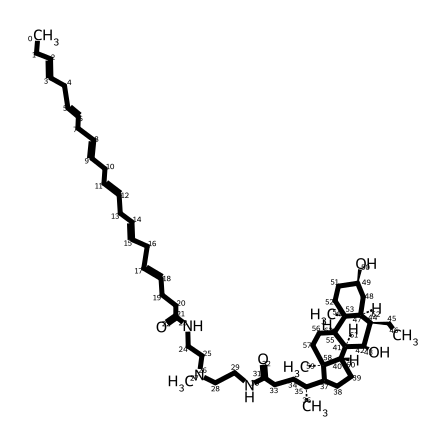 CCC=CCC=CCC=CCC=CCC=CCC=CCCC(=O)NCCN(C)CCNC(=O)CC[C@@H](C)C1CC[C@H]2[C@@H]3[C@H](O)[C@H](CC)[C@@H]4C[C@H](O)CC[C@]4(C)[C@H]3CC[C@]12C